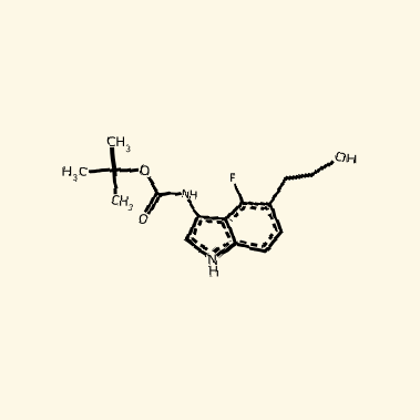 CC(C)(C)OC(=O)Nc1c[nH]c2ccc(CCO)c(F)c12